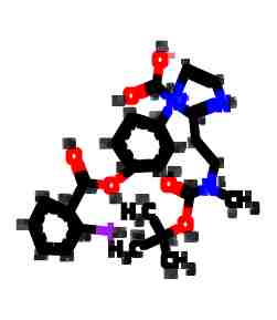 CN(CCC1=NC=C[N+]1(C(=O)[O-])c1ccc(OC(=O)c2ccccc2I)cc1)C(=O)OC(C)(C)C